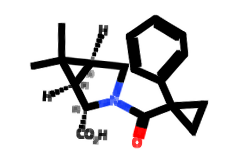 CC1(C)[C@@H]2[C@@H](C(=O)O)N(C(=O)C3(c4ccccc4)CC3)C[C@@H]21